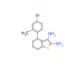 Cc1cc(Br)ccc1-c1cccc2sc(N)c(N)c12